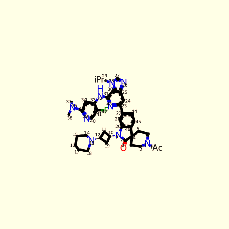 CC(=O)N1CCC2(CC1)C(=O)N([C@H]1C[C@@H](N3CCCCC3)C1)c1cc(-c3cc4ncn(C(C)C)c4c(Nc4cc(N(C)C)ncc4F)n3)ccc12